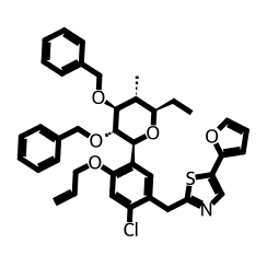 C=CCOc1cc(Cl)c(Cc2ncc(-c3ccco3)s2)cc1[C@@H]1O[C@H](CC)[C@@H](C)[C@H](OCc2ccccc2)[C@H]1OCc1ccccc1